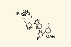 COc1ccc(F)cc1[C@H]1C[C@H](F)CN1c1ccc2ncc(-c3cc(CCO[Si](C)(C)C(C)(C)C)cnn3)n2n1